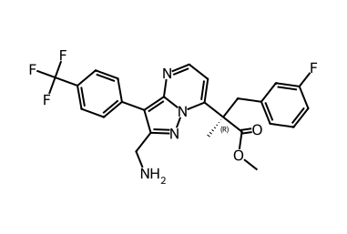 COC(=O)[C@](C)(Cc1cccc(F)c1)c1ccnc2c(-c3ccc(C(F)(F)F)cc3)c(CN)nn12